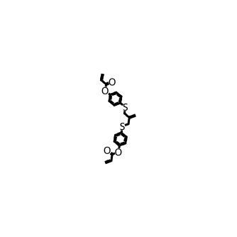 C=CC(=O)Oc1ccc(SCC(=C)CSc2ccc(OC(=O)C=C)cc2)cc1